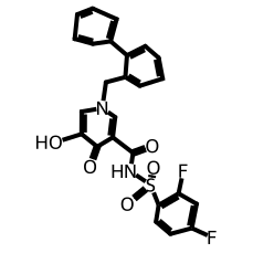 O=C(NS(=O)(=O)c1ccc(F)cc1F)c1cn(Cc2ccccc2-c2ccccc2)cc(O)c1=O